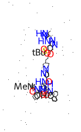 CN[C@@H](C)C(=O)N[C@H](C(=O)N1C[C@@H](NC(=O)c2ccc(N3CCC(CCCOc4cc5ncnc(Nc6n[nH]c(C)c6C)c5cc4S(=O)(=O)C(C)(C)C)CC3)nc2)C[C@H]1C(=O)N[C@]1(C=O)C=CCc2ccccc21)C1CCCCC1